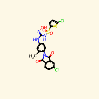 Cc1cc(NC(=NO)NS(=O)(=O)c2ccc(Cl)s2)ccc1N1C(=O)c2ccc(Cl)cc2C1=O